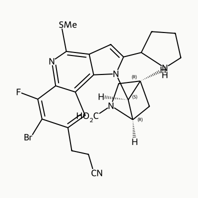 CSc1nc2c(F)c(Br)c(CCC#N)cc2c2c1cc(C1CCCN1)n2[C@H]1[C@@H]2C[C@H]1N(C(=O)O)C2